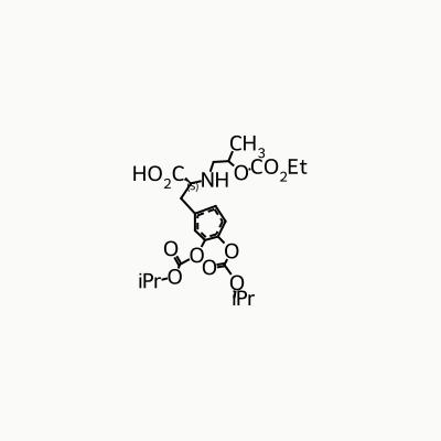 CCOC(=O)OC(C)CN[C@@H](Cc1ccc(OC(=O)OC(C)C)c(OC(=O)OC(C)C)c1)C(=O)O